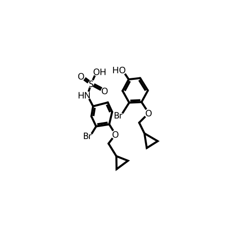 O=S(=O)(O)Nc1ccc(OCC2CC2)c(Br)c1.Oc1ccc(OCC2CC2)c(Br)c1